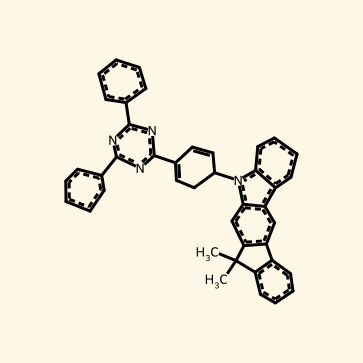 CC1(C)c2ccccc2-c2cc3c4ccccc4n(C4C=CC(c5nc(-c6ccccc6)nc(-c6ccccc6)n5)=CC4)c3cc21